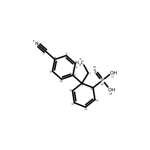 CCC1(c2ccc(C#N)cc2)C=CC=CC1P(O)(O)=S